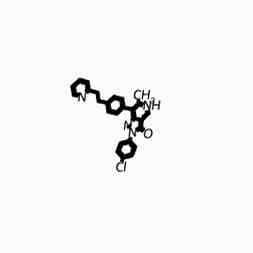 Cc1[nH]cc2c(=O)n(-c3ccc(Cl)cc3)nc-2c1-c1ccc(CCc2ccccn2)cc1